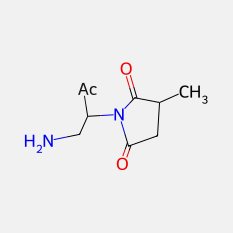 CC(=O)C(CN)N1C(=O)CC(C)C1=O